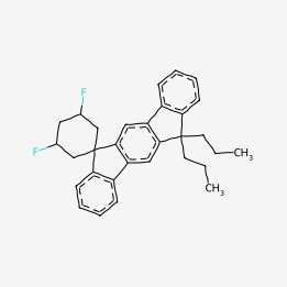 CCCC1(CCC)c2ccccc2-c2cc3c(cc21)-c1ccccc1C31CC(F)CC(F)C1